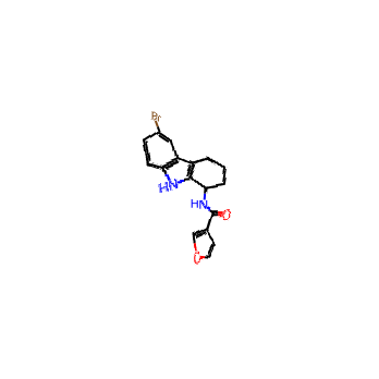 O=C(NC1CCCc2c1[nH]c1ccc(Br)cc21)c1ccoc1